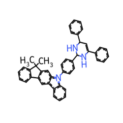 CC1(C)c2ccccc2-c2cc3c4ccccc4n(-c4ccc(C5NC(c6ccccc6)=CC(c6ccccc6)N5)cc4)c3cc21